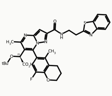 Cc1nc2cc(C(=O)NCCc3nc4ccccc4s3)nn2c(-c2cc(F)c3c(c2C)CCCO3)c1[C@H](OC(C)(C)C)C(=O)O